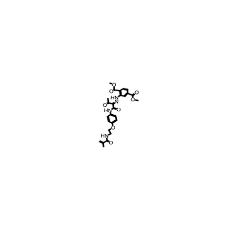 C=C(C)C(=O)NCCOc1ccc(NC(=O)/C(=N/Nc2cc(C(=O)OC)ccc2C(=O)OC)C(C)=O)cc1